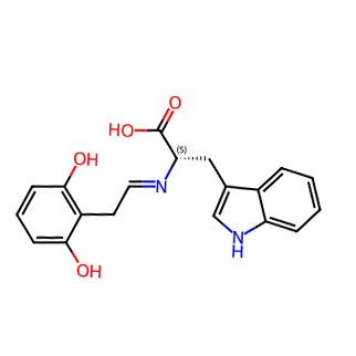 O=C(O)[C@H](Cc1c[nH]c2ccccc12)N=CCc1c(O)cccc1O